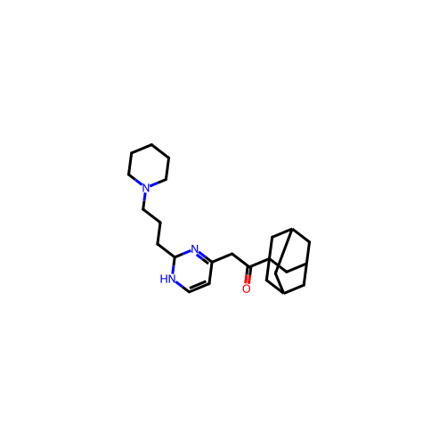 O=C(CC1=NC(CCCN2CCCCC2)NC=C1)C12CC3CC(CC(C3)C1)C2